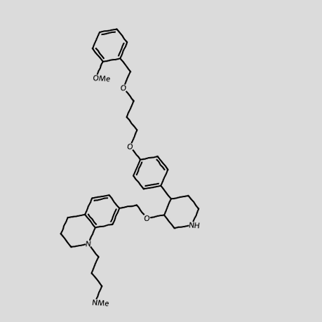 CNCCCN1CCCc2ccc(COC3CNCCC3c3ccc(OCCCOCc4ccccc4OC)cc3)cc21